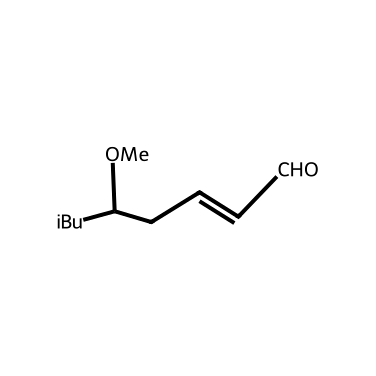 CCC(C)C(C/C=C/C=O)OC